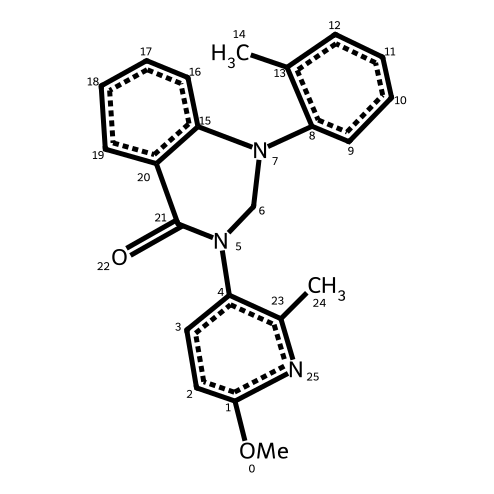 COc1ccc(N2CN(c3ccccc3C)c3ccccc3C2=O)c(C)n1